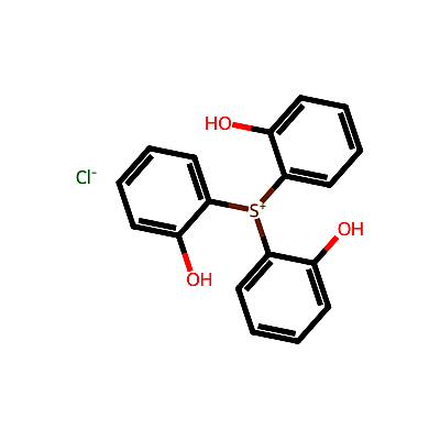 Oc1ccccc1[S+](c1ccccc1O)c1ccccc1O.[Cl-]